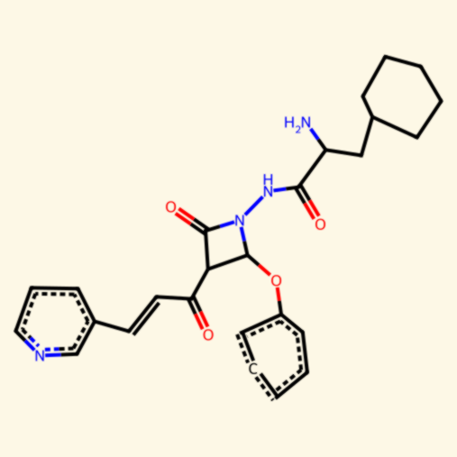 NC(CC1CCCCC1)C(=O)NN1C(=O)C(C(=O)C=Cc2cccnc2)C1Oc1ccccc1